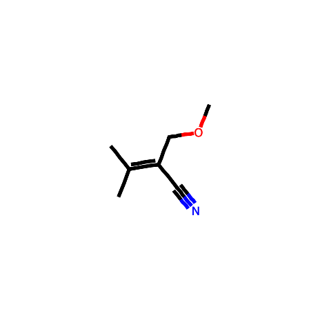 COCC(C#N)=C(C)C